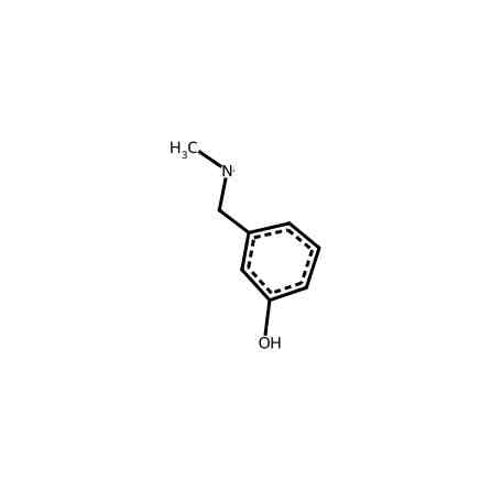 C[N]Cc1cccc(O)c1